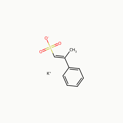 CC(=CS(=O)(=O)[O-])c1ccccc1.[K+]